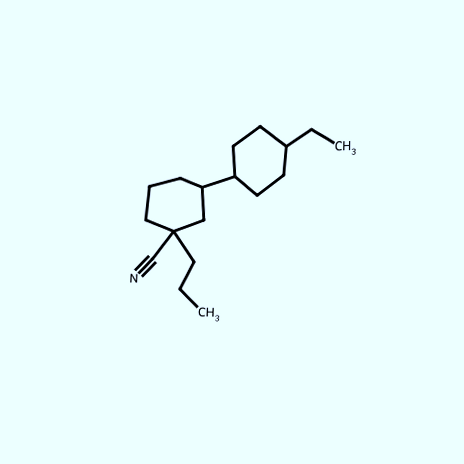 CCCC1(C#N)CCCC(C2CCC(CC)CC2)C1